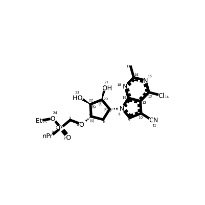 CCCP(=O)(CO[C@H]1C[C@@H](n2cc(C#N)c3c(Cl)nc(C)nc32)[C@H](O)[C@@H]1O)OCC